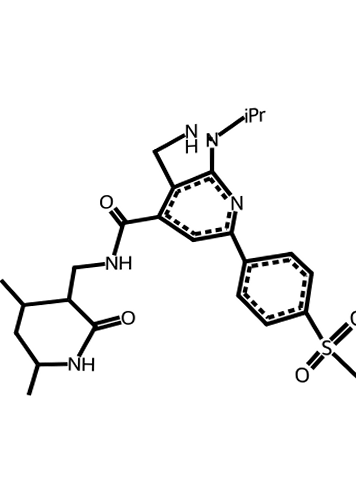 CC1CC(C)C(CNC(=O)c2cc(-c3ccc(S(C)(=O)=O)cc3)nc3c2CNN3C(C)C)C(=O)N1